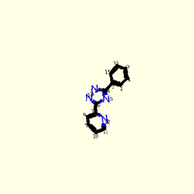 c1ccc(C2=NC(c3ccccn3)N=N2)cc1